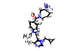 Cc1ncn(CC2CC2)c1-c1nc2cc(C(=O)N3CCC[C@@H](N)C3)ccc2n1C